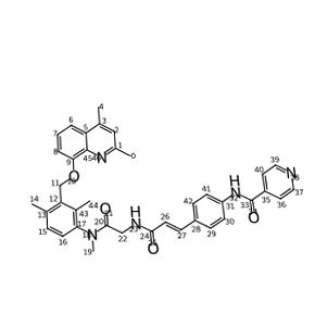 Cc1cc(C)c2cccc(OCc3c(C)ccc(N(C)C(=O)CNC(=O)C=Cc4ccc(NC(=O)c5ccncc5)cc4)c3C)c2n1